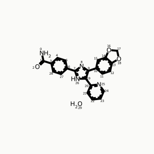 NC(=O)c1ccc(-c2nc(-c3ccc4c(c3)OCO4)c(-c3ccccn3)[nH]2)cc1.O